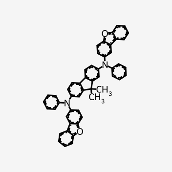 CC1(C)c2cc(N(c3ccccc3)c3ccc4oc5ccccc5c4c3)ccc2-c2ccc(N(c3ccccc3)c3ccc4oc5ccccc5c4c3)cc21